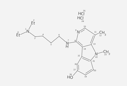 CCN(CC)CCCCNc1ncc(C)c2c1c1cc(O)ccc1n2C.Cl.Cl